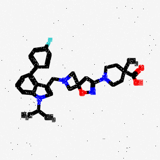 CC(C)n1cc(CN2CC3(CC(N4CCC(C)(C(=O)O)CC4)=NO3)C2)c2c(-c3ccc(F)cc3)cccc21